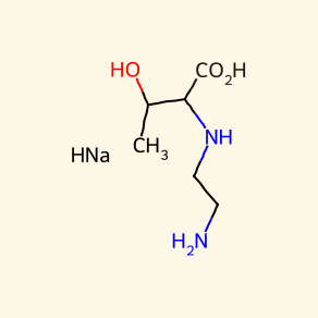 CC(O)C(NCCN)C(=O)O.[NaH]